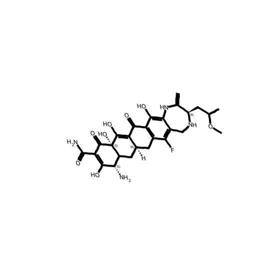 C=C1Nc2c(O)c3c(c(F)c2CN[C@@H]1CC(C)OC)C[C@H]1CC2[C@H](N)C(O)=C(C(N)=O)C(=O)[C@@]2(O)C(O)=C1C3=O